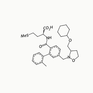 CSCC[C@H](NC(=O)c1ccc(CN2OCCC2COC2CCCCC2)cc1-c1ccccc1C)C(=O)O